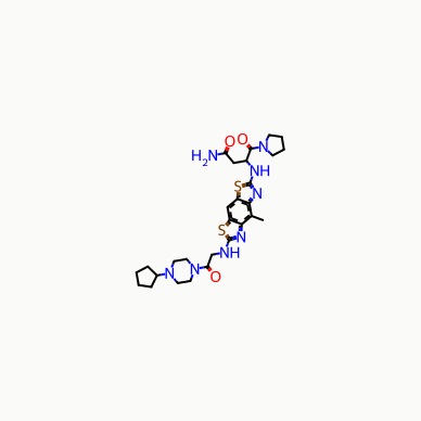 Cc1c2nc(NCC(=O)N3CCN(C4CCCC4)CC3)sc2cc2sc(NC(CC(N)=O)C(=O)N3CCCC3)nc12